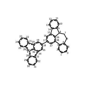 c1ccc2c(c1)CCC1c3ccccc3-c3cc(-c4cc5c6ccccc6n6c7ccccc7c(c4)c56)cc-2c31